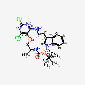 CC(COc1c(Cl)nc(Cl)nc1NCCc1c[nH]c2ccccc12)NC(=O)OC(C)(C)C